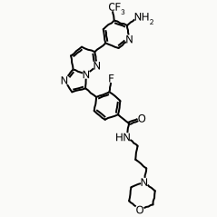 Nc1ncc(-c2ccc3ncc(-c4ccc(C(=O)NCCCN5CCOCC5)cc4F)n3n2)cc1C(F)(F)F